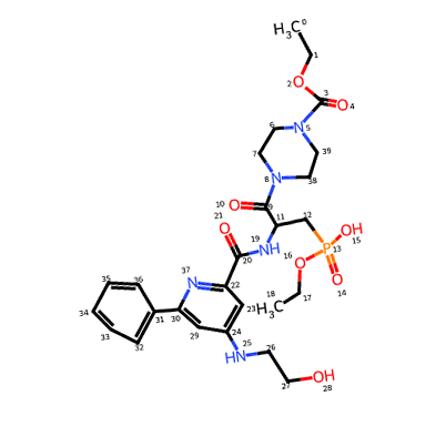 CCOC(=O)N1CCN(C(=O)C(CP(=O)(O)OCC)NC(=O)c2cc(NCCO)cc(-c3ccccc3)n2)CC1